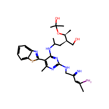 C/C(P)=C/C(=N)CNc1nc(C)c(-c2nc3ccccc3s2)c(NC(C)C[C@H](CO)[C@H](C)OC(C)(C)O)n1